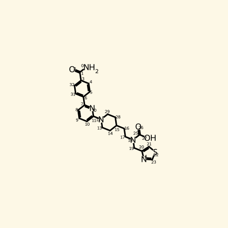 NC(=O)c1ccc(-c2cccc(N3CCC(CCN(Cc4cscn4)C(=O)O)CC3)n2)cc1